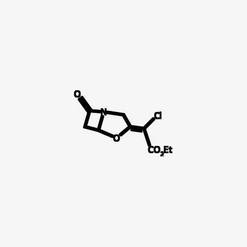 CCOC(=O)/C(Cl)=C1/CN2C(=O)CC2O1